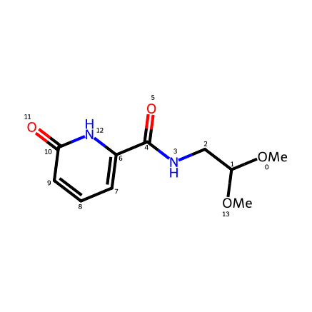 COC(CNC(=O)c1cccc(=O)[nH]1)OC